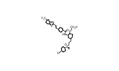 O=C(O)COc1ccc(CCCS(=O)(=O)c2ccc(Cl)cc2)cc1NC(=O)c1ccc(C=Cc2nc3cc(C(F)(F)F)ccc3s2)cc1